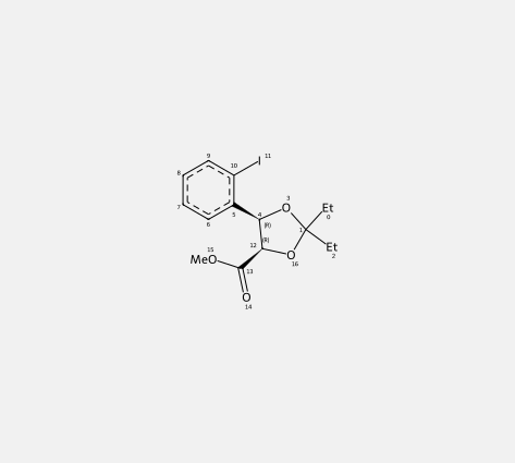 CCC1(CC)O[C@H](c2ccccc2I)[C@H](C(=O)OC)O1